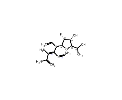 C=CN(C(/N=C\N)=C(\N)C(=C)N)[C@@H]1O[C@H]([C@H](C)O)[C@@H](O)[C@H]1F